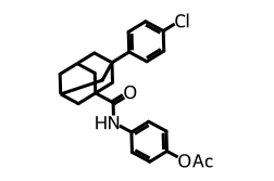 CC(=O)Oc1ccc(NC(=O)C23CC4CC(C2)CC(c2ccc(Cl)cc2)(C4)C3)cc1